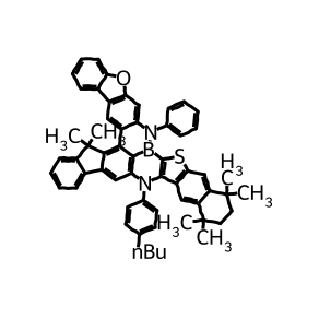 CCCCc1ccc(N2c3cc4c(c5c3B(c3sc6cc7c(cc6c32)C(C)(C)CCC7(C)C)N(c2ccccc2)c2cc3oc6ccccc6c3cc2-5)C(C)(C)c2ccccc2-4)cc1